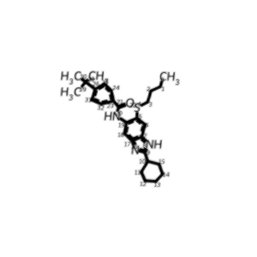 CCCCSc1cc2[nH]c(C3CCCCC3)nc2cc1NC(=O)c1ccc(C(C)(C)C)cc1